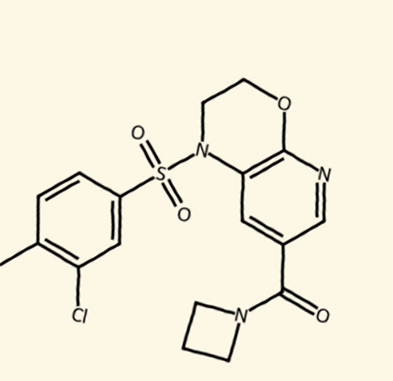 O=C(c1cnc2c(c1)N(S(=O)(=O)c1ccc(Cl)c(Cl)c1)CCO2)N1CCC1